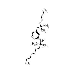 CCCCCCCC(C)(C)Nc1cccc(CC(C)(N)CCCCC)n1